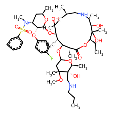 CCCNC[C@]1(O)[C@H](C)OC(O[C@H]2[C@H](C)[C@@H](O[C@@H]3O[C@H](C)C[C@H](N(C)S(=O)(=O)c4ccccc4)[C@H]3Oc3ccc(F)cc3)[C@](C)(O)C[C@@H](C)CN[C@H](C)[C@@H](O)[C@](C)(O)[C@@H](CC)OC(=O)[C@@H]2C)C[C@@]1(C)OC